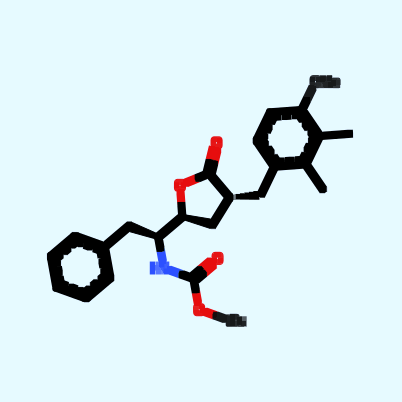 COc1ccc(C[C@@H]2C[C@@H]([C@H](Cc3ccccc3)NC(=O)OC(C)(C)C)OC2=O)c(C)c1C